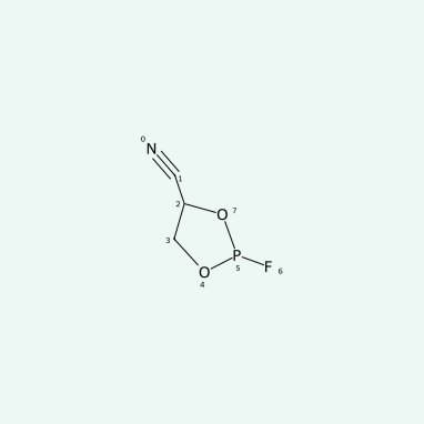 N#CC1COP(F)O1